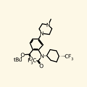 CN1CCN(c2ccc(C(=O)OC(C)(C)C)c(N(C(=O)C(F)(F)F)[C@H]3CC[C@@H](C(F)(F)F)CC3)c2)CC1